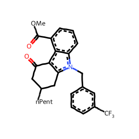 CCCCCC1CC(=O)c2c(n(Cc3cccc(C(F)(F)F)c3)c3cccc(C(=O)OC)c23)C1